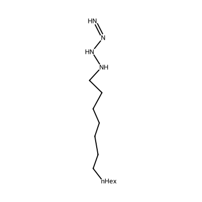 CCCCCCCCCCCCCNNN=N